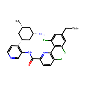 COCc1cc(F)c(-c2nc(C(=O)Nc3cnccc3[C@@H]3C[C@H](C)C[C@H](N)C3)ccc2F)c(F)c1